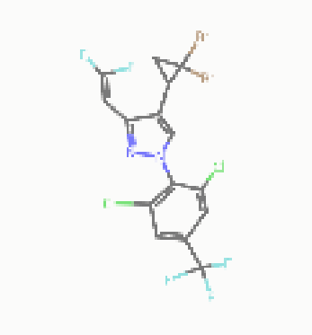 FC(F)=Cc1nn(-c2c(Cl)cc(C(F)(F)F)cc2Cl)cc1C1CC1(Br)Br